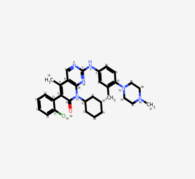 Cc1cc(Nc2ncc3c(C)c(-c4ccccc4Cl)c(=O)n(C4CCCCC4)c3n2)ccc1N1CCN(C)CC1